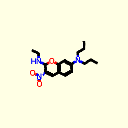 CCCN(CCC)c1ccc2c(c1)OC(NCC)C([N+](=O)[O-])=C2